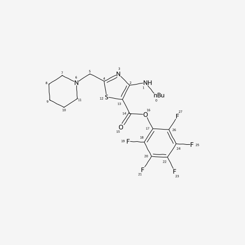 CCCCNc1nc(CN2CCCCC2)sc1C(=O)Oc1c(F)c(F)c(F)c(F)c1F